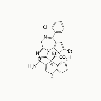 CCc1cc2c(s1)-n1c(nnc1[C@@]1(C(CC)C(=O)O)C(C(N)=O)=CNc3ccccc31)CN=C2c1ccccc1Cl